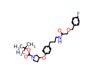 CC(C)(C)OC(=O)N1CCC(Oc2ccc(CCCNC(=O)COCc3ccc(F)cc3)cc2)C1